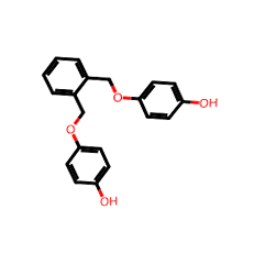 Oc1ccc(OCc2ccccc2COc2ccc(O)cc2)cc1